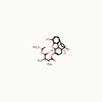 CC(=O)O[C@@H](C(=O)OC1=CC[C@]2(O)[C@H]3CCC[C@]24c2c(ccc(O)c2O[C@H]14)C3)[C@@H](OC(C)=O)C(=O)O[C@@H](C)C(=O)O